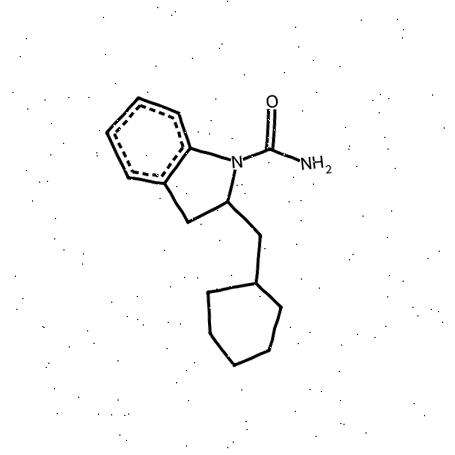 NC(=O)N1c2ccccc2CC1CC1CCCCC1